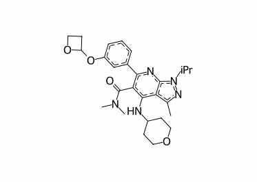 Cc1nn(C(C)C)c2nc(-c3cccc(OC4CCO4)c3)c(C(=O)N(C)C)c(NC3CCOCC3)c12